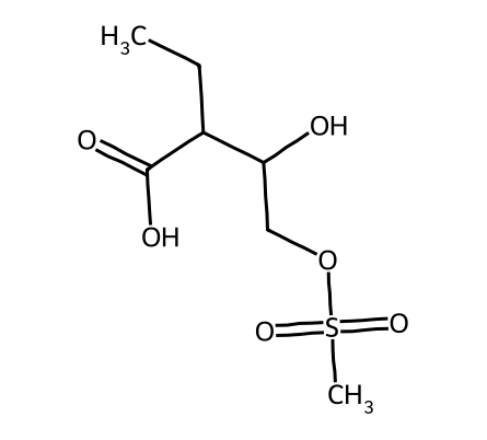 CCC(C(=O)O)C(O)COS(C)(=O)=O